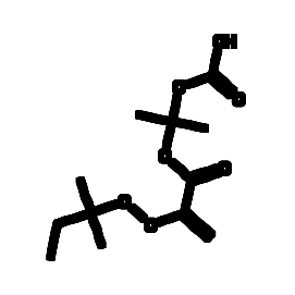 C=C(OOC(C)(C)CC)C(=O)OC(C)(C)OC(=O)O